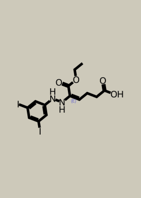 CCOC(=O)/C(=C\CCC(=O)O)NNc1cc(I)cc(I)c1